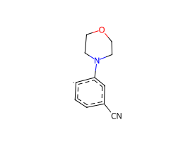 N#Cc1cc[c]c(N2CCOCC2)c1